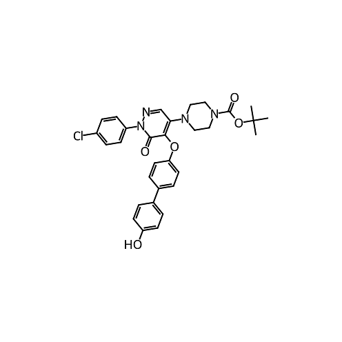 CC(C)(C)OC(=O)N1CCN(c2cnn(-c3ccc(Cl)cc3)c(=O)c2Oc2ccc(-c3ccc(O)cc3)cc2)CC1